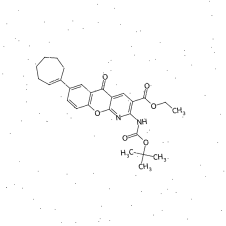 CCOC(=O)c1cc2c(=O)c3cc(C4=CCCCCC4)ccc3oc2nc1NC(=O)OC(C)(C)C